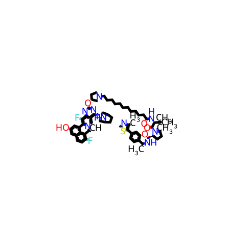 C#Cc1c(F)ccc2cc(O)cc(-c3ncc4c(N5CC6CCC(C5)N6)nc(OC5CCN(CCCCCCCCCCCC(=O)NC(C(=O)N6CCC[C@H]6C(=O)N[C@@H](C)c6ccc(-c7scnc7C)cc6)C(C)(C)C)C5)nc4c3F)c12